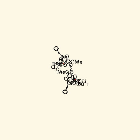 COc1cc2c(cc1OCCCOc1cc3c(cc1OC)C(=O)N1C=C(C#Cc4ccccc4)C[C@H]1[C@H](O[Si](C)(C)C(C)(C)C)N3C(=O)OCC(Cl)(Cl)Cl)N(C(=O)OCC(Cl)(Cl)Cl)[C@@H](O[Si](C)(C)C(C)(C)C)[C@@H]1CC(C#Cc3ccccc3)=CN1C2=O